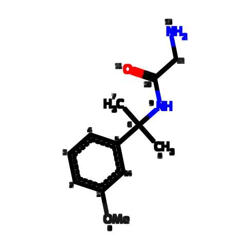 COc1cccc(C(C)(C)NC(=O)CN)c1